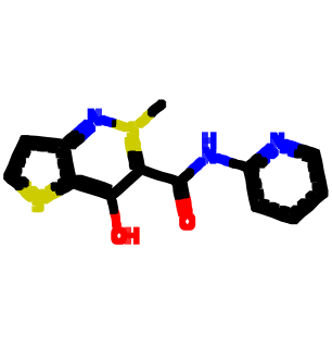 CS1=C(C(=O)Nc2ccccn2)C(O)=c2sccc2=N1